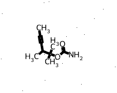 CC#CC(C)C(C)(C)OC(N)=O